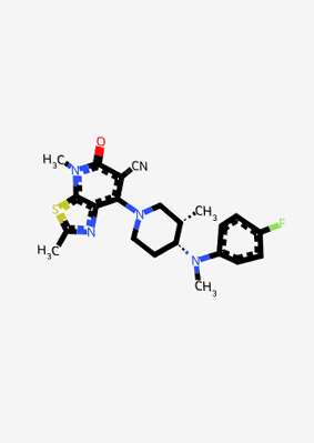 Cc1nc2c(N3CC[C@@H](N(C)c4ccc(F)cc4)[C@@H](C)C3)c(C#N)c(=O)n(C)c2s1